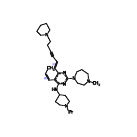 C/C=C\c1c(/C=C/C#CCCN2CCCCC2)nc(N2CCCN(C)CC2)nc1NC1CCN(C(C)C)CC1